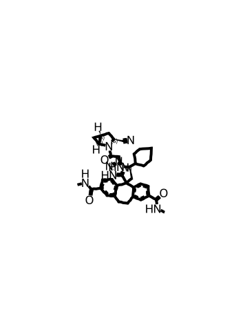 CNC(=O)c1ccc2c(c1)CCc1cc(C(=O)NC)ccc1C2(C[C@@H](NCC(=O)N1[C@H](C#N)C[C@@H]2C[C@@H]21)C1CCCCC1)c1nnn[nH]1